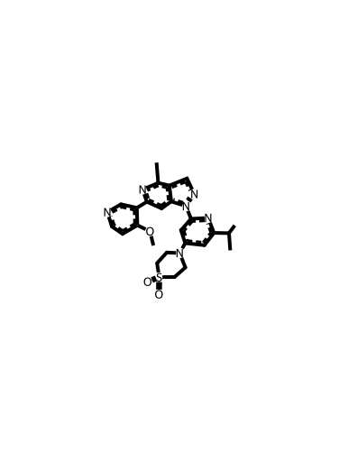 COc1ccncc1-c1cc2c(cnn2-c2cc(N3CCS(=O)(=O)CC3)cc(C(C)C)n2)c(C)n1